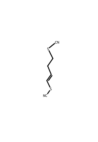 N#CS/C=C/CCSC#N